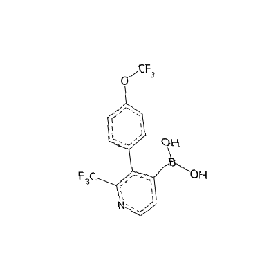 OB(O)c1ccnc(C(F)(F)F)c1-c1ccc(OC(F)(F)F)cc1